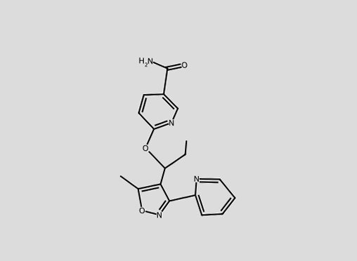 CCC(Oc1ccc(C(N)=O)cn1)c1c(-c2ccccn2)noc1C